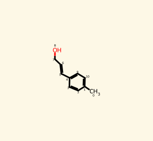 Cc1ccc(C=CCO)cc1